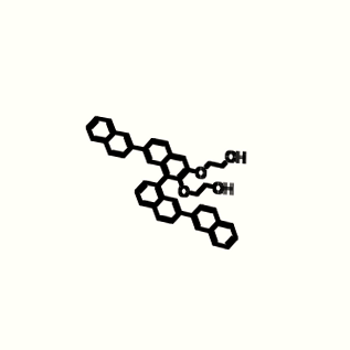 OCCOc1cc2ccc(-c3ccc4ccccc4c3)cc2c(-c2cccc3ccc(-c4ccc5ccccc5c4)cc23)c1OCCO